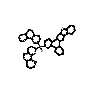 O=P(c1ccc2c(c1)c1ccccc1c1cc3c(cc21)oc1ccccc13)(c1ccc2ccc3cccnc3c2n1)c1ccc2ccc3cccnc3c2n1